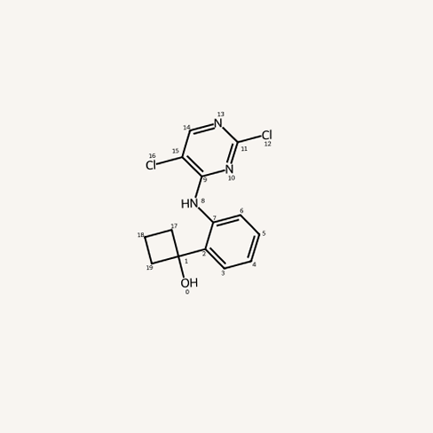 OC1(c2ccccc2Nc2nc(Cl)ncc2Cl)CCC1